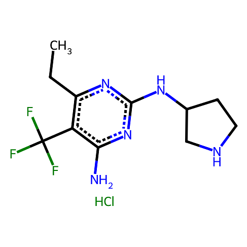 CCc1nc(NC2CCNC2)nc(N)c1C(F)(F)F.Cl